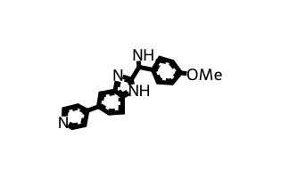 COc1ccc(C(N)c2nc3cc(-c4ccncc4)ccc3[nH]2)cc1